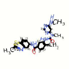 CNc1cc(N(C)C(=O)Nc2cc(C(=O)Nc3ccc4sc(C)nc4c3)ccc2C)ncn1